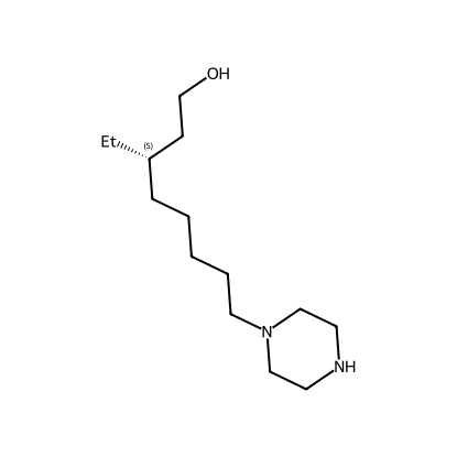 CC[C@H](CCO)CCCCCN1CCNCC1